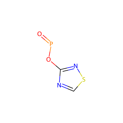 O=POc1ncsn1